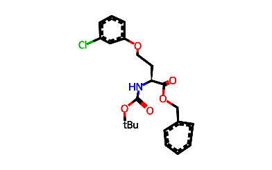 CC(C)(C)OC(=O)N[C@@H](CCOc1cccc(Cl)c1)C(=O)OCc1ccccc1